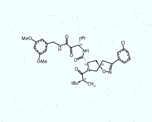 CCC[C@H](NC(=O)[C@@H]1C[C@]2(CC(c3cccc(Cl)c3)=NO2)CN1C(=O)[C@@H](C)C(C)(C)C)C(=O)C(=O)NCc1cc(OC)cc(OC)c1